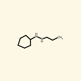 CCCNNC1CCCCC1